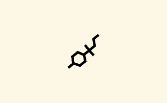 CCCC(C)(C)C1[CH]CC(C)CC1